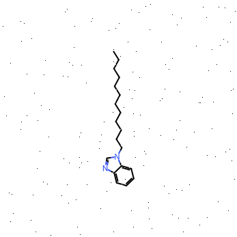 CCCCCCCCCCCCn1cnc2ccccc21